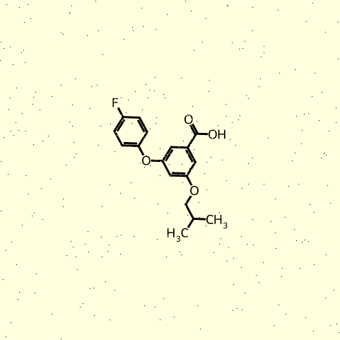 CC(C)COc1cc(Oc2ccc(F)cc2)cc(C(=O)O)c1